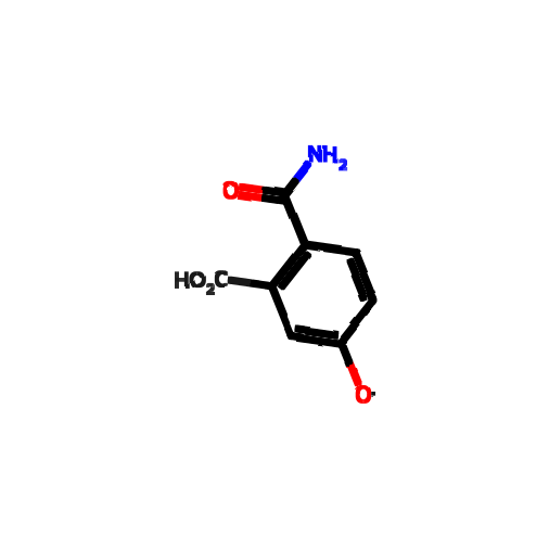 NC(=O)c1ccc([O])cc1C(=O)O